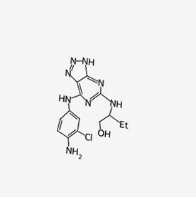 CCC(CO)Nc1nc(Nc2ccc(N)c(Cl)c2)c2nn[nH]c2n1